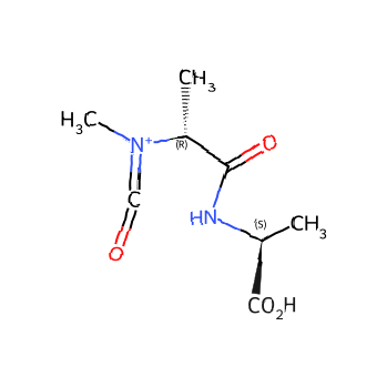 C[C@H](NC(=O)[C@@H](C)[N+](C)=C=O)C(=O)O